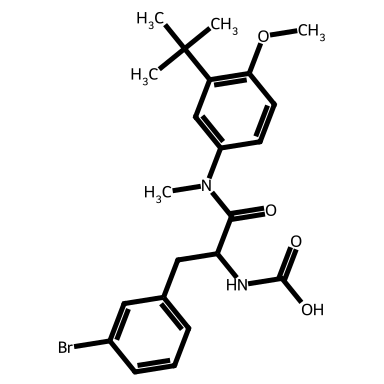 COc1ccc(N(C)C(=O)C(Cc2cccc(Br)c2)NC(=O)O)cc1C(C)(C)C